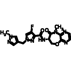 CN1C(=O)[C@@H](NC(=O)c2nn(Cc3cnn(C)c3)cc2F)COc2nccnc21